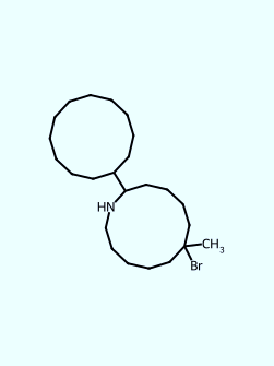 CC1(Br)CCCCCNC(C2CCCCCCCCCCC2)CCCC1